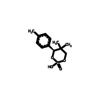 Cc1ccc([C@@H]2OP(=O)(O)OCC2(C)C)cc1